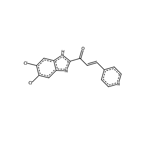 O=C(C=Cc1ccncc1)c1nc2cc(Cl)c(Cl)cc2[nH]1